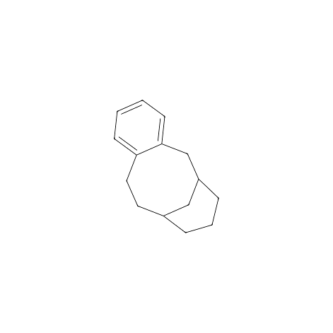 c1ccc2c(c1)CCC1CCCC(C2)C1